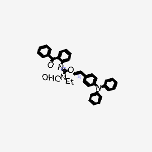 CCN(C=O)/C(=N/c1ccccc1C(=O)c1ccccc1)O/C=C/c1ccc(N(c2ccccc2)c2ccccc2)cc1